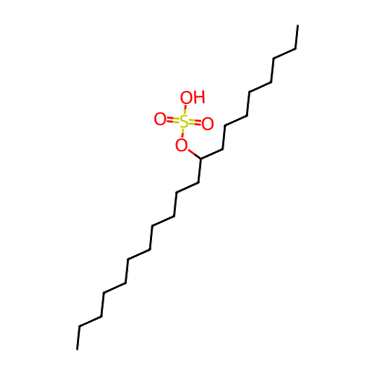 CCCCCCCCCCCC(CCCCCCCC)OS(=O)(=O)O